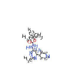 Cc1nc(NNC(=O)OC(C)(C)C)cc(-c2ccncc2N)n1